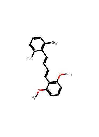 COc1cccc(OC)c1C=CC=Cc1c(C)cccc1C